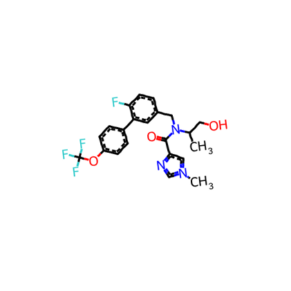 CC(CO)N(Cc1ccc(F)c(-c2ccc(OC(F)(F)F)cc2)c1)C(=O)c1cn(C)cn1